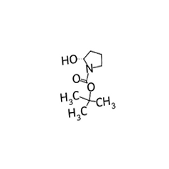 CC(C)(C)OC(=O)N1CCC[C@H]1O